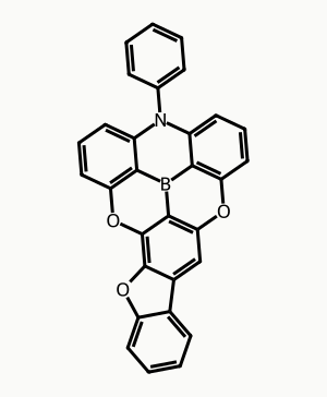 c1ccc(N2c3cccc4c3B3c5c(cccc52)Oc2c3c(cc3c2oc2ccccc23)O4)cc1